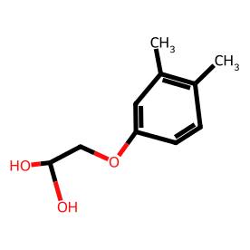 Cc1ccc(OCC(O)O)cc1C